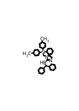 Cc1ccc([Si](Cn2ccnc2BC(c2ccccc2)c2ccccc2)(c2ccccc2)c2ccc(C)cc2)cc1